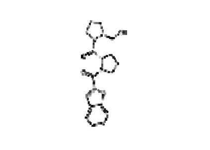 O=C([C@@H]1CCCN1C(=O)c1cc2ccccc2o1)N1CCC[C@H]1CO